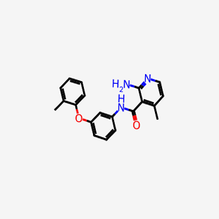 Cc1ccccc1Oc1cccc(NC(=O)c2c(C)ccnc2N)c1